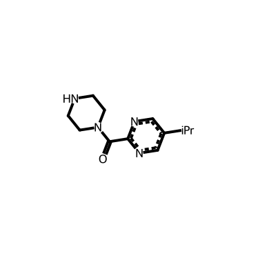 CC(C)c1cnc(C(=O)N2CCNCC2)nc1